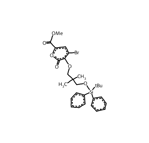 COC(=O)c1cc(Br)c(OCC(C)(C)CO[Si](c2ccccc2)(c2ccccc2)C(C)(C)C)c(=O)o1